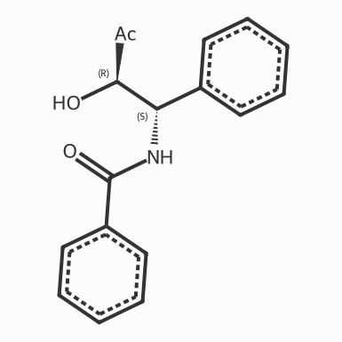 CC(=O)[C@H](O)[C@@H](NC(=O)c1ccccc1)c1ccccc1